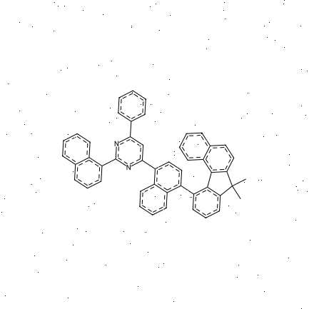 CC1(C)c2cccc(-c3ccc(-c4cc(-c5ccccc5)nc(-c5cccc6ccccc56)n4)c4ccccc34)c2-c2c1ccc1ccccc21